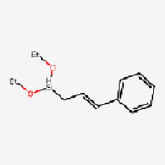 CCO[SiH](CC=Cc1ccccc1)OCC